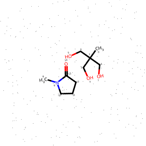 CC(CO)(CO)CO.CN1CCCC1=O